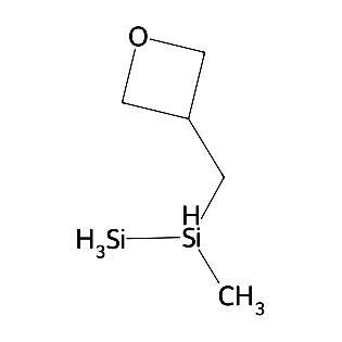 C[SiH]([SiH3])CC1COC1